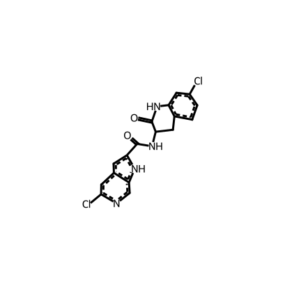 O=C(NC1Cc2ccc(Cl)cc2NC1=O)c1cc2cc(Cl)ncc2[nH]1